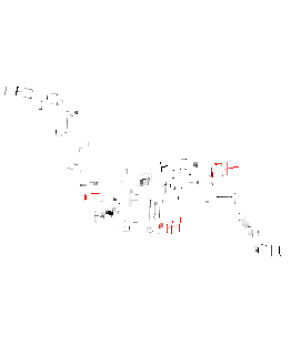 CC#CCCC(C)(O)C=CC1[C@H](O)C[C@@H]2O[C@H](CCCCC(=O)O)C[C@H]12